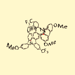 COc1ccc2c(c1)c1cc(OC)ccc1n2-c1ccc(C(F)(F)F)cc1-c1cc(C)c(-c2cc(C(F)(F)F)ccc2-n2c3ccc(OC)cc3c3cc(OC)ccc32)cc1C